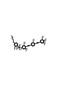 C/C=C/CCc1ccc(C(F)(F)Oc2cc(F)c(C#Cc3ccc(C#Cc4cc(F)c(F)c(F)c4)c(F)c3)c(F)c2)c(F)c1